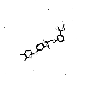 COC(=O)c1cccc(OCc2nc3ccc(Oc4ccc(C)c(C)n4)cc3n2C)c1